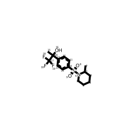 CC1CCCCN1S(=O)(=O)c1ccc(C(C)(O)C(F)(F)F)cc1